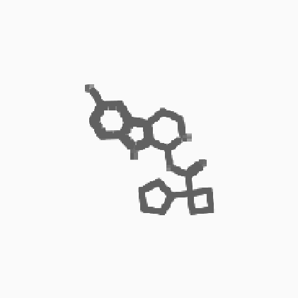 O=C(OC1NCCc2c1[nH]c1ccc(Cl)cc21)C1(C2CCCC2)CCC1